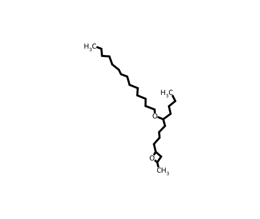 CCCCCCCCCCCCCCOC(CCCC)CCCCC1CC(C)O1